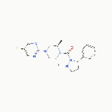 C[C@@H]1CN(c2ncc(F)cn2)C[C@@H](C)N1C(=O)N1N=CCC1c1ccccc1